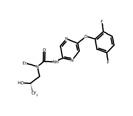 CCN(C[C@@H](O)C(F)(F)F)C(=O)Nc1cnc(Oc2cc(F)ccc2F)cn1